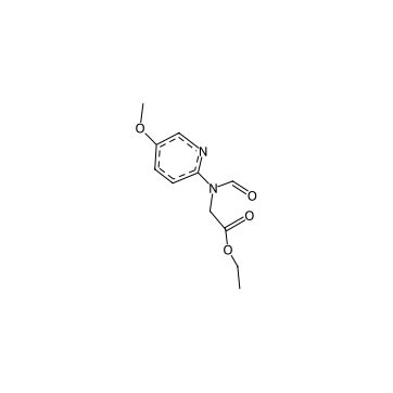 CCOC(=O)CN(C=O)c1ccc(OC)cn1